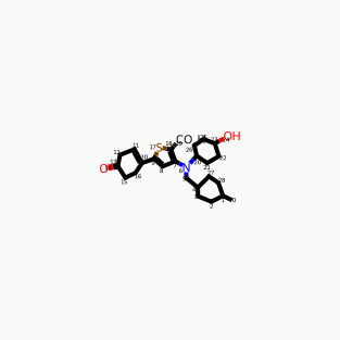 CC1CCC(CN(c2cc(C3=CCC(=O)CC3)sc2C(=O)O)C2CCC(O)CC2)CC1